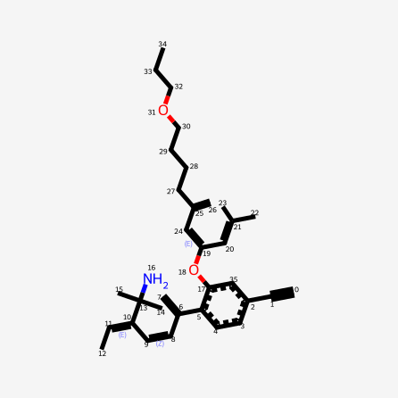 C#Cc1ccc(C(=C)/C=C\C(=C/C)C(C)(C)N)c(O/C(C=C(C)C)=C/C(=C)CCCCOCCC)c1